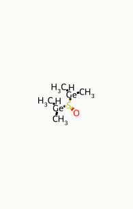 [CH3][GeH]([CH3])[S](=O)[GeH]([CH3])[CH3]